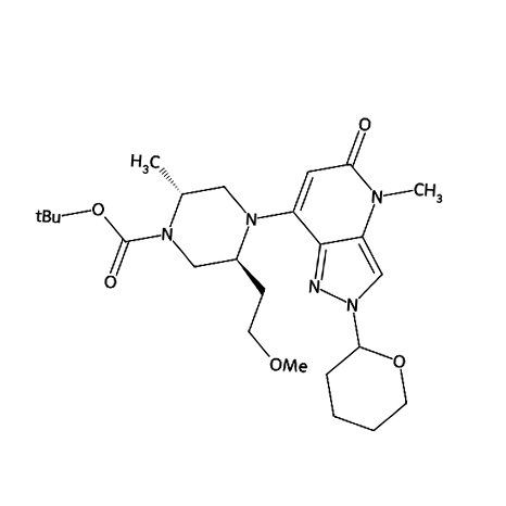 COCC[C@H]1CN(C(=O)OC(C)(C)C)[C@H](C)CN1c1cc(=O)n(C)c2cn(C3CCCCO3)nc12